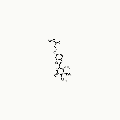 COC(=O)CCOc1ccc2cc(-c3oc(=O)c(C)c(OC(C)=O)c3C)oc2c1